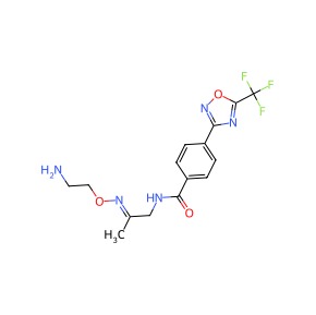 CC(CNC(=O)c1ccc(-c2noc(C(F)(F)F)n2)cc1)=NOCCN